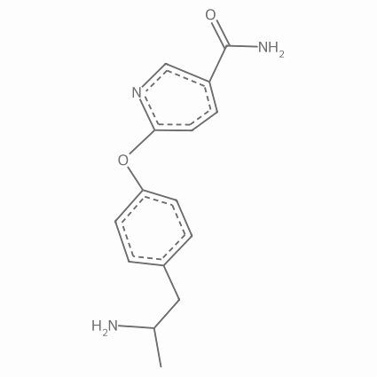 CC(N)Cc1ccc(Oc2ccc(C(N)=O)cn2)cc1